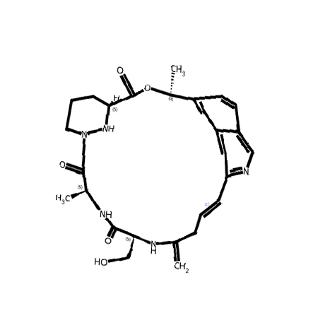 C=C1C/C=C/c2cc3cc(ccc3cn2)[C@@H](C)OC(=O)[C@@H]2CCCN(N2)C(=O)[C@H](C)NC(=O)[C@H](CO)N1